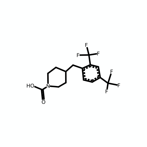 O=C(O)N1CCC(Cc2ccc(C(F)(F)F)cc2C(F)(F)F)CC1